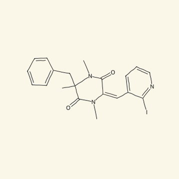 CN1C(=O)C(C)(Cc2ccccc2)N(C)C(=O)/C1=C\c1cccnc1I